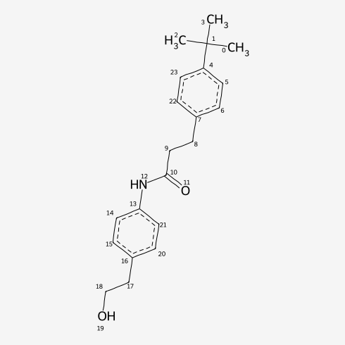 CC(C)(C)c1ccc(CCC(=O)Nc2ccc(CCO)cc2)cc1